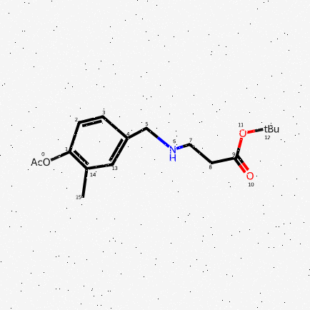 CC(=O)Oc1ccc(CNCCC(=O)OC(C)(C)C)cc1C